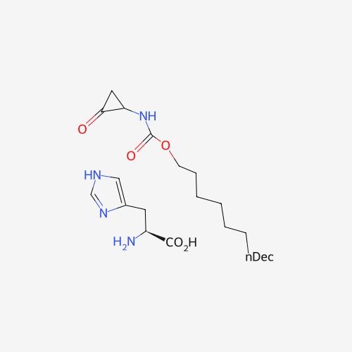 CCCCCCCCCCCCCCCCOC(=O)NC1CC1=O.N[C@@H](Cc1c[nH]cn1)C(=O)O